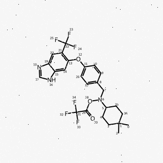 CC1(C)CCC(N(Cc2ccc(Oc3cc4[nH]cnc4cc3C(F)(F)F)cc2)OC(=O)C(F)(F)F)CC1